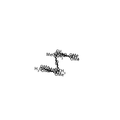 CO[Si](C)(CCCOOCCC[Si](C)(OC)O[Si](C)(CCCOOCCC[Si](C)(OC)O[Si](C)(CCCOOCCC[Si](C)(OC)OC)OC)OC)OC